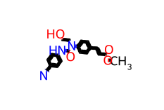 COC(=O)/C=C/c1ccc(N(CCO)C(=O)Nc2ccc(C#N)cc2)cc1